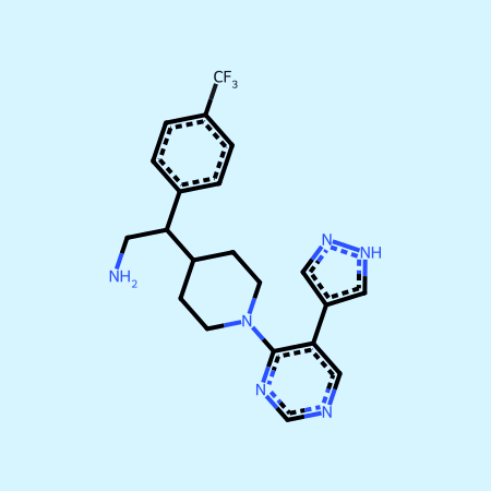 NCC(c1ccc(C(F)(F)F)cc1)C1CCN(c2ncncc2-c2cn[nH]c2)CC1